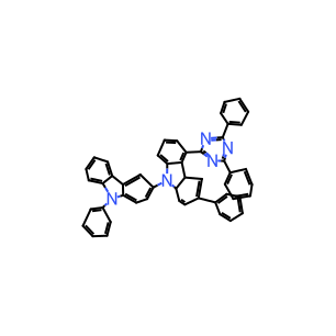 C1=CC2C(C=C1c1ccccc1)c1c(-c3nc(-c4ccccc4)nc(-c4ccccc4)n3)cccc1N2c1ccc2c(c1)c1ccccc1n2-c1ccccc1